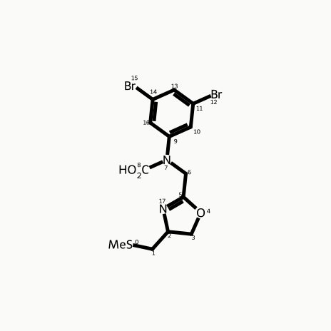 CSCC1COC(CN(C(=O)O)c2cc(Br)cc(Br)c2)=N1